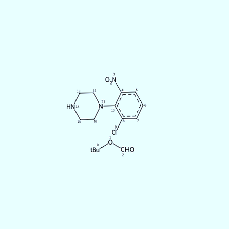 CC(C)(C)OC=O.O=[N+]([O-])c1cccc(Cl)c1N1CCNCC1